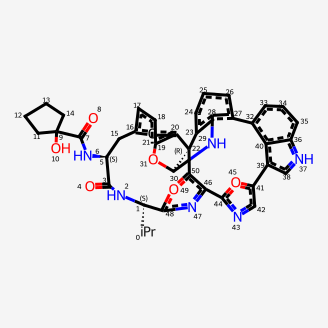 CC(C)[C@@H]1NC(=O)[C@@H](NC(=O)C2(O)CCCC2)Cc2ccc3c(c2)[C@]24c5cccc(c5NC2O3)-c2cccc3[nH]cc(c23)-c2cnc(o2)-c2nc1oc24